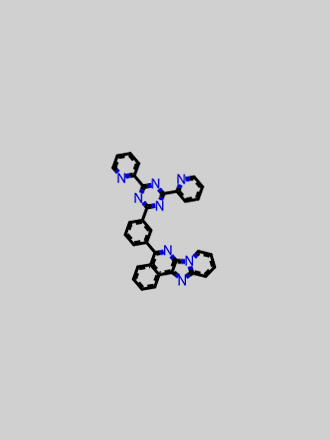 c1ccc(-c2nc(-c3cccc(-c4nc5c(nc6ccccn65)c5ccccc45)c3)nc(-c3ccccn3)n2)nc1